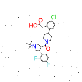 CC(C)(C)N1C[C@@H](C(=O)N2CCC(c3ccc(Cl)cc3CC(=O)O)CC2)[C@H](c2ccc(F)cc2F)C1